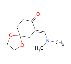 CN(C)/C=C1\CC2(CCC1=O)OCCO2